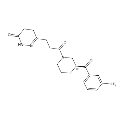 O=C1CCC(CCC(=O)N2CCC[C@H](C(=O)c3cccc(C(F)(F)F)c3)C2)=NN1